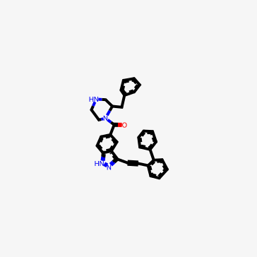 O=C(c1ccc2[nH]nc(C#Cc3ccccc3-c3ccccc3)c2c1)N1CCNCC1Cc1ccccc1